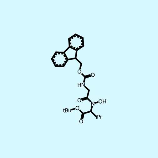 CC(C)C(C(=O)OC(C)(C)C)N(O)C(=O)CNC(=O)OCC1c2ccccc2-c2ccccc21